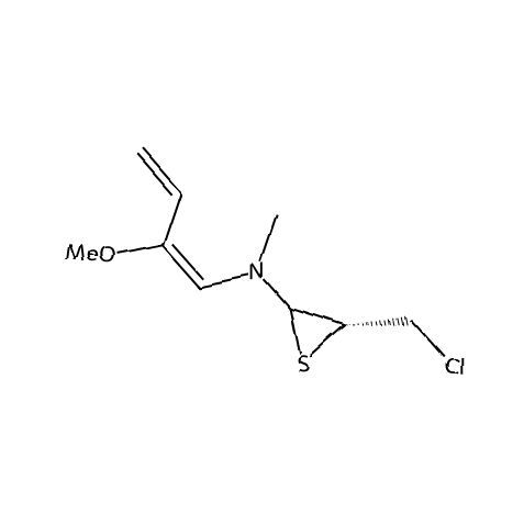 C=C/C(=C\N(C)C1S[C@H]1CCl)OC